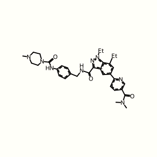 CCc1cc(-c2ccc(C(=O)N(C)C)cn2)cc2c(C(=O)NCc3ccc(NC(=O)N4CCN(C)CC4)cc3)nn(CC)c12